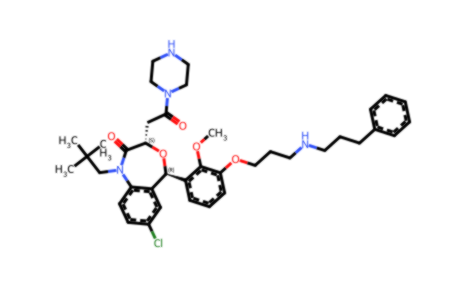 COc1c(OCCCNCCCc2ccccc2)cccc1[C@@H]1O[C@@H](CC(=O)N2CCNCC2)C(=O)N(CC(C)(C)C)c2ccc(Cl)cc21